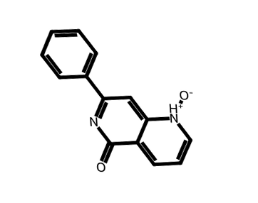 O=C1N=C(c2ccccc2)C=C2C1=CC=C[NH+]2[O-]